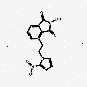 O=C1c2cccc(CCn3ccnc3[N+](=O)[O-])c2C(=O)N1O